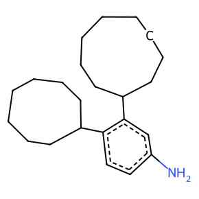 Nc1ccc(C2CCCCCCC2)c(C2CCCCCCCC2)c1